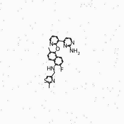 Cc1nc(CNc2c(F)ccc3c(Oc4ncccc4-c4ccnc(N)n4)c(C)ccc23)cs1